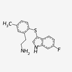 Cc1ccc(Sc2c[nH]c3cc(F)ccc23)c(CCN)c1